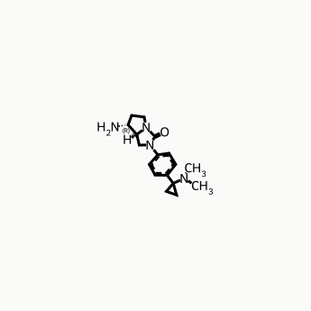 CN(C)C1(c2ccc(N3C[C@@H]4[C@H](N)CCN4C3=O)cc2)CC1